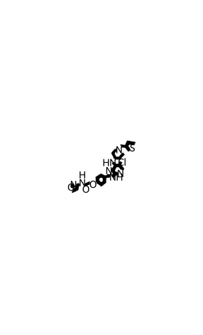 O=C(COc1ccc(-c2nc3c(NC4CCN(Cc5ccsc5)CC4)c(Cl)cnc3[nH]2)cc1)Nc1ccon1